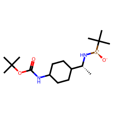 C[C@@H](N[S@+]([O-])C(C)(C)C)C1CCC(NC(=O)OC(C)(C)C)CC1